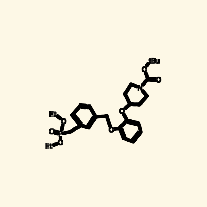 CCOP(=O)(Cc1cccc(COc2ccccc2OC2CCN(C(=O)OC(C)(C)C)CC2)c1)OCC